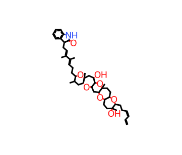 C=C/C=C\CCC1OC2CCC3(C)OC4C(O)CC5(C)OC(CC/C=C(C)/C(C)=C/CC6C(=O)Nc7ccccc76)C(C)CC5OC4CC3OC2CCC1(C)O